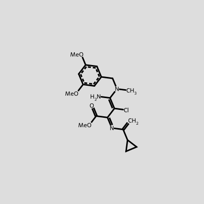 C=C(/N=C(C(=O)OC)\C(Cl)=C(/N)N(C)Cc1cc(OC)cc(OC)c1)C1CC1